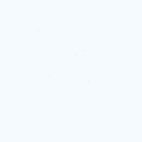 O=C(O)c1ccc(S(=O)(=O)Nc2cccc(-c3n[nH]cc3-c3nc4cc(Cl)ccc4o3)c2)cc1